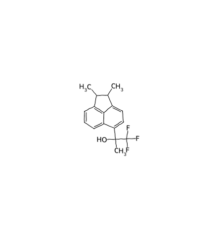 CC1c2cccc3c(C(C)(O)C(F)(F)F)ccc(c23)C1C